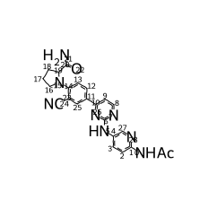 CC(=O)Nc1ccc(Nc2nccc(-c3ccc(N4CCCC4C(N)=O)c(C#N)c3)n2)cn1